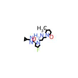 C[C@@H]1CCC(=O)N(C[C@@H](N)CCN2C[C@@H](F)C[C@H]2c2nc(C3CC3)no2)C1